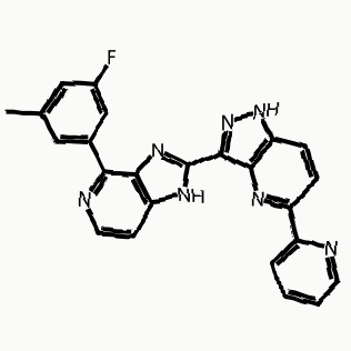 Cc1cc(F)cc(-c2nccc3[nH]c(-c4n[nH]c5ccc(-c6ccccn6)nc45)nc23)c1